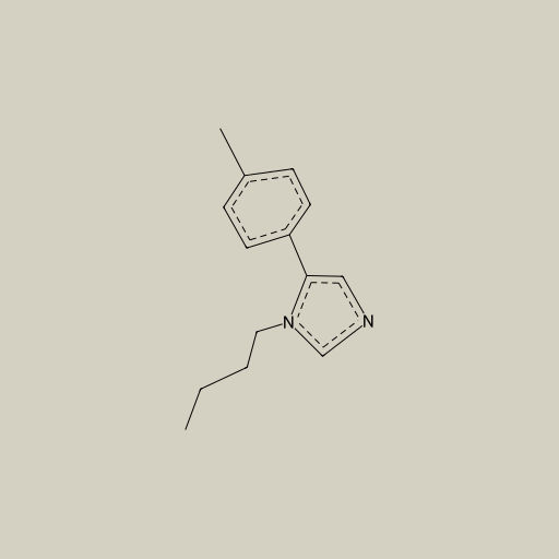 CCCCn1cncc1-c1ccc(C)cc1